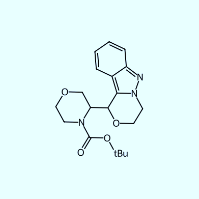 CC(C)(C)OC(=O)N1CCOCC1C1OCCn2nc3ccccc3c21